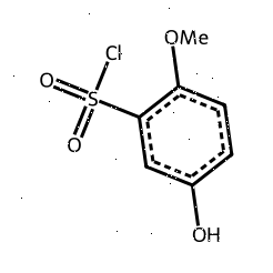 COc1ccc(O)cc1S(=O)(=O)Cl